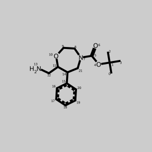 CC(C)(C)OC(=O)N1CCOC(CN)C(c2ccccc2)C1